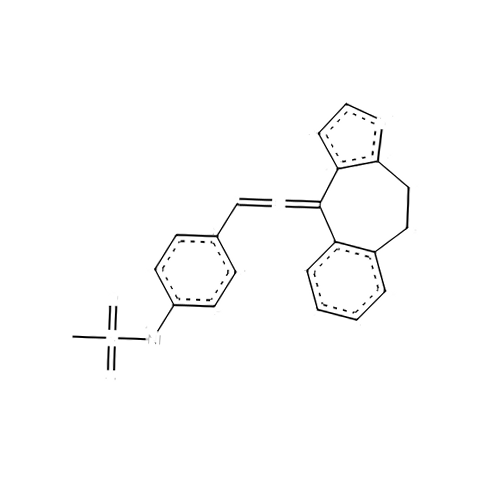 CS(=O)(=O)Nc1ccc(C=C=C2c3ccccc3CCc3sccc32)cc1